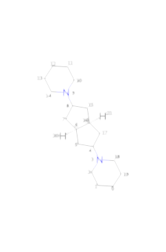 C1CCN(C2C[C@H]3CC(N4CCCCC4)C[C@H]3C2)CC1